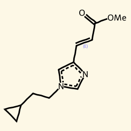 COC(=O)/C=C/c1cn(CCC2CC2)cn1